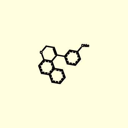 COc1cccc(C2=CCOc3ccc4ccccc4c32)c1